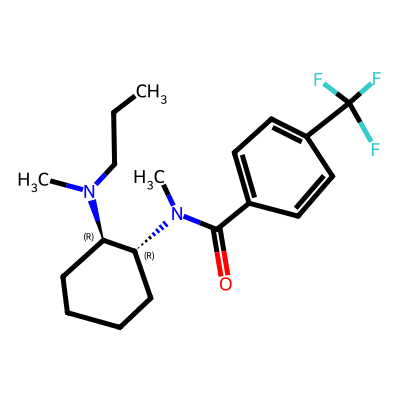 CCCN(C)[C@@H]1CCCC[C@H]1N(C)C(=O)c1ccc(C(F)(F)F)cc1